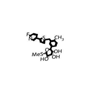 CS[C@H]1OC(c2ccc(C)c(Cc3ccc(-c4ccc(F)nc4)s3)c2)[C@H](O)[C@@H](O)[C@@H]1O